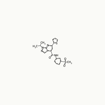 CC(C)n1ncc2c(C(=O)Nc3cccc(S(C)(=O)=O)c3)cc(-c3cccs3)nc21